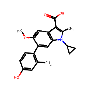 COc1cc2c(C(=O)O)c(C)n(C3CC3)c2cc1-c1ccc(O)cc1C